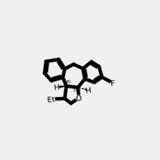 CCC1CO[C@@H]2c3cc(F)ccc3Cc3ccccc3[C@@H]12